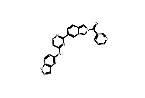 O=C(c1cccnc1)n1cc2ccc(-c3nccc(Nc4ccc5[nH]ncc5c4)n3)cc2c1